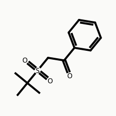 CC(C)(C)S(=O)(=O)CC(=O)c1ccccc1